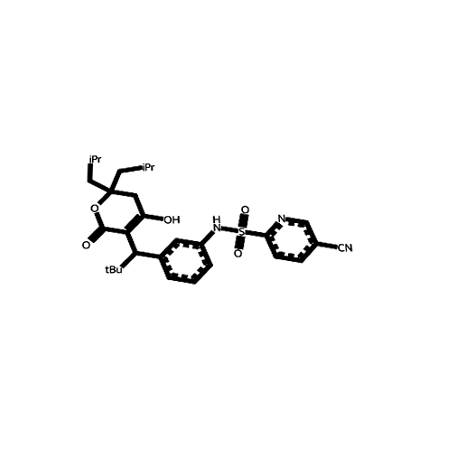 CC(C)CC1(CC(C)C)CC(O)=C(C(c2cccc(NS(=O)(=O)c3ccc(C#N)cn3)c2)C(C)(C)C)C(=O)O1